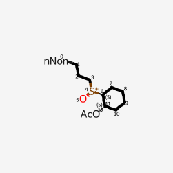 CCCCCCCCCCCC[S+]([O-])[C@H]1CCCC[C@@H]1OC(C)=O